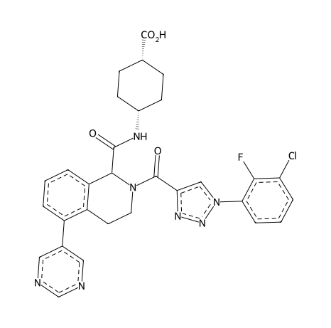 O=C(N[C@H]1CC[C@@H](C(=O)O)CC1)C1c2cccc(-c3cncnc3)c2CCN1C(=O)c1cn(-c2cccc(Cl)c2F)nn1